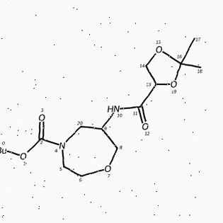 CC(C)(C)OC(=O)N1CCOCC(NC(=O)C2COC(C)(C)O2)C1